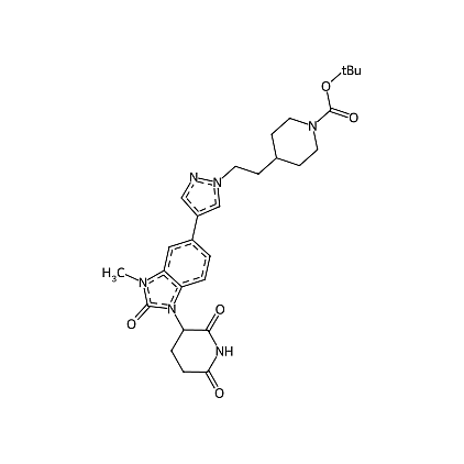 Cn1c(=O)n(C2CCC(=O)NC2=O)c2ccc(-c3cnn(CCC4CCN(C(=O)OC(C)(C)C)CC4)c3)cc21